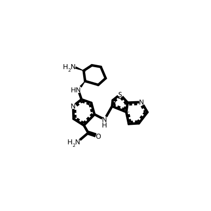 NC(=O)c1cnc(N[C@@H]2CCCC[C@@H]2N)cc1Nc1csc2ncccc12